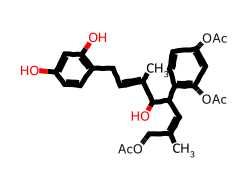 CC(=O)OCC(C)=CC(c1ccc(OC(C)=O)cc1OC(C)=O)C(O)/C(C)=C/Cc1ccc(O)cc1O